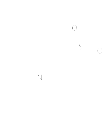 O=S(=O)=C1C(c2ccccc2)=Nc2ccccc21